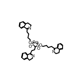 O=S(=O)(OCCCCC1=NCCc2ccccc21)C(CCC1=NCCc2ccccc21)S(=O)(=O)OCCCCC1=NCCc2ccccc21